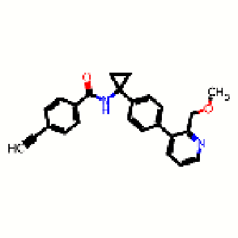 C#Cc1ccc(C(=O)NC2(c3ccc(-c4cccnc4COC)cc3)CC2)cc1